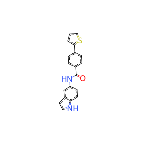 O=C(Nc1ccc2[nH]ccc2c1)c1ccc(-c2cccs2)cc1